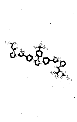 COC(=O)N[C@H](C(=O)N1CCC[C@H]1c1cc(-c2ccc([C@@H]3CC[C@@H](c4ccc(-c5cc([C@@H]6CCCN6C(=O)[CH]C(C)C)[nH]n5)cc4)N3c3ccc(C(C)(C)C)cc3)cc2)n[nH]1)C(C)C